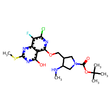 CNC1CN(C(=O)OC(C)(C)C)CC1COc1nc(Cl)c(F)c2nc(SC)nc(O)c12